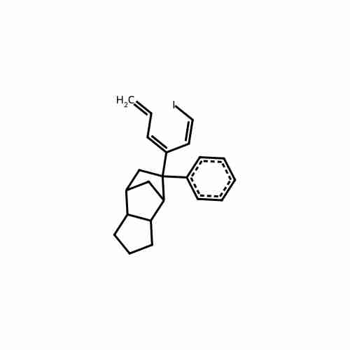 C=C/C=C(\C=C/I)C1(c2ccccc2)CC2CC1C1CCCC21